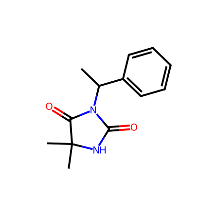 CC(c1ccccc1)N1C(=O)NC(C)(C)C1=O